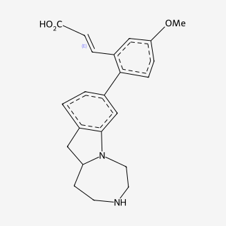 COc1ccc(-c2ccc3c(c2)N2CCNCCC2C3)c(/C=C/C(=O)O)c1